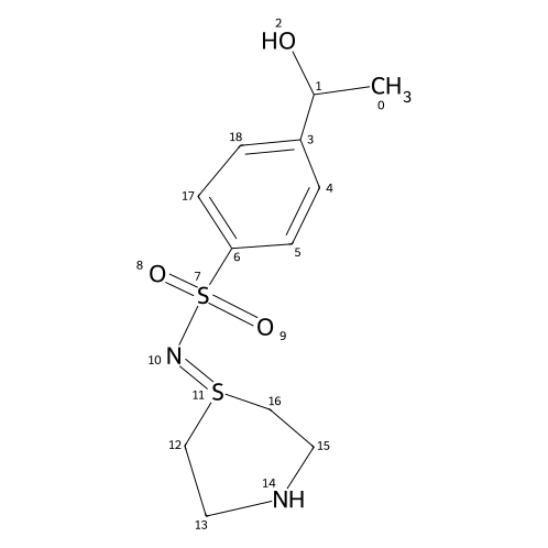 CC(O)c1ccc(S(=O)(=O)N=S2CCNCC2)cc1